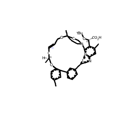 Cc1ccc2c(c1)-c1cccc(c1)-c1cn3c(c([C@H](OC(C)(C)C)C(=O)O)c(C)cc3n1)N1CCC(C)(CC1)OC/C=C/C[C@H](C)O2